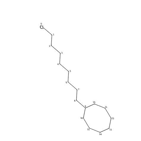 ClCCCCCCCCC1CCCCCCC1